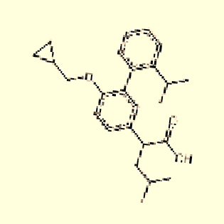 CC(C)CC(C(=O)O)c1ccc(OCC2CC2)c(-c2ccccc2C(C)C)c1